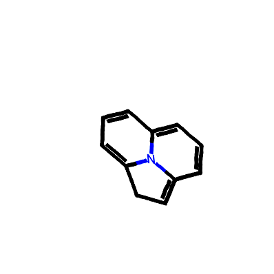 C1=CC2=CC=CC3=CCC(=C1)N23